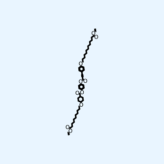 C=COC(=O)CCCCCCCCCCCCOc1ccc(C#CC(=O)Oc2ccc(OC(=O)C3CCC(OCCCCCCCCCCC(=O)OC=C)CC3)cc2)cc1